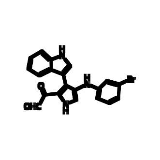 O=CC(=O)c1[nH]cc(Nc2cccc(Br)c2)c1-c1c[nH]c2ccccc12